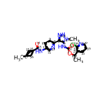 C[C@@H](OC(=O)Nc1c(-c2ccc(NC(=O)C34CC(C)(C3)C4)cn2)nnn1C)c1cccnc1Cl